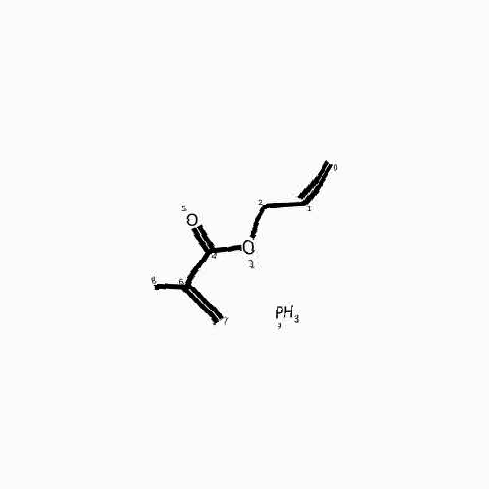 C=CCOC(=O)C(=C)C.P